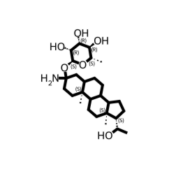 CC(O)[C@H]1CCC2C3CCC4CC(N)(O[C@@H]5O[C@@H](C)[C@H](O)[C@@H](O)[C@H]5O)CC[C@]4(C)C3CC[C@@]21C